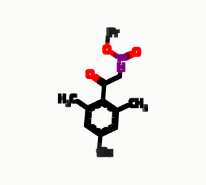 Cc1cc(C(C)(C)C)cc(C)c1C(=O)C[PH](=O)OC(C)C